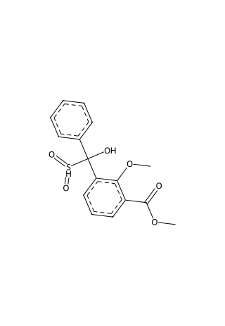 COC(=O)c1cccc(C(O)(c2ccccc2)[SH](=O)=O)c1OC